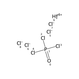 O=P(Cl)(Cl)Cl.[Cl-].[Cl-].[Cl-].[Cl-].[Hf+4]